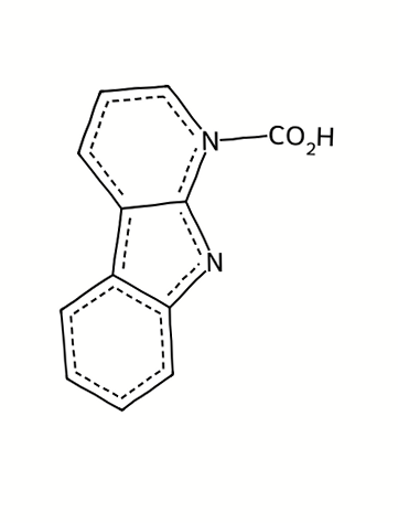 O=C(O)n1cccc2c3ccccc3nc1-2